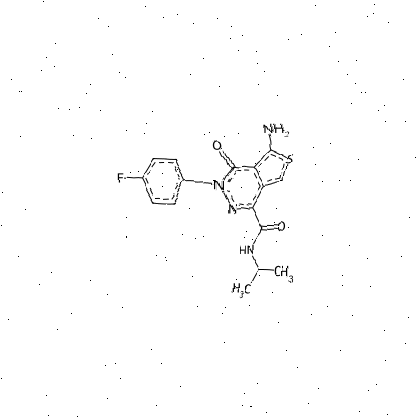 CC(C)NC(=O)c1nn(-c2ccc(F)cc2)c(=O)c2c(N)scc12